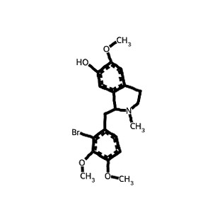 COc1cc2c(cc1O)C(Cc1ccc(OC)c(OC)c1Br)N(C)CC2